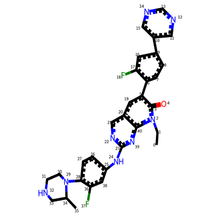 CCn1c(=O)c(-c2ccc(-c3cncnc3)cc2F)cc2cnc(Nc3ccc(N4CCNCC4C)c(F)c3)nc21